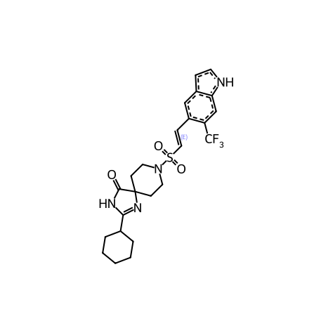 O=C1NC(C2CCCCC2)=NC12CCN(S(=O)(=O)/C=C/c1cc3cc[nH]c3cc1C(F)(F)F)CC2